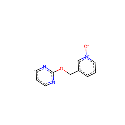 [O-][n+]1cccc(COc2n[c]ccn2)c1